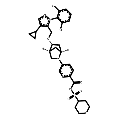 O=C(NS(=O)(=O)C1CCOCC1)c1ccc(N2C[C@@H]3C[C@H]2C[C@H]3OCc2c(C3CC3)cnn2-c2c(Cl)cccc2Cl)cn1